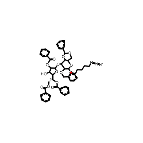 [N-]=[N+]=NCCCCCOC1OC2COC(c3ccccc3)OC2C(OC2OC([C@@H](COC(=O)c3ccccc3)OC(=O)c3ccccc3)C(O)C2OC(=O)c2ccccc2)C1OCc1ccccc1